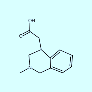 CN1Cc2ccccc2C(CC(=O)O)C1